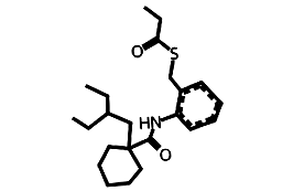 CCC(=O)SCc1ccccc1NC(=O)C1(CC(CC)CC)CCCCC1